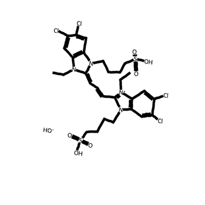 CCN1/C(=C/C=C/c2n(CCCCS(=O)(=O)O)c3cc(Cl)c(Cl)cc3[n+]2CC)N(CCCCS(=O)(=O)O)c2cc(Cl)c(Cl)cc21.[OH-]